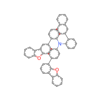 c1ccc(N(c2ccc(-c3cccc4c3oc3ccccc34)cc2)c2ccccc2-c2ccc3oc4ccccc4c3c2)c(-c2ccc3ccccc3c2)c1